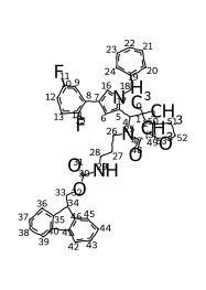 CC(C)(C)C(c1cc(-c2cc(F)ccc2F)cn1Cc1ccccc1)N(CCCNC(=O)OCC1c2ccccc2-c2ccccc21)C(=O)[C@@H]1CCCO1